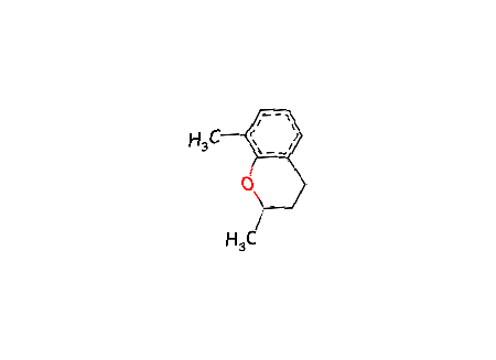 Cc1cccc2c1OC(C)CC2